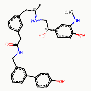 C[C@H](Cc1cccc(CC(=O)NCc2cccc(-c3ccc(O)cc3)c2)c1)NC[C@@H](O)c1ccc(O)c(NC=O)c1